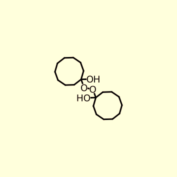 OC1(OOC2(O)CCCCCCCCC2)CCCCCCCCC1